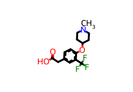 CN1CCC(Oc2ccc(CC(=O)O)cc2C(F)(F)F)CC1